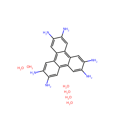 Nc1cc2c3cc(N)c(N)cc3c3cc(N)c(N)cc3c2cc1N.O.O.O.O.O.O